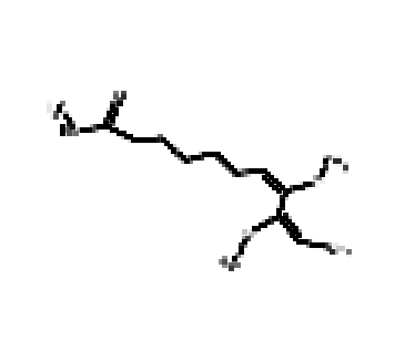 C/C=C(OC)\C(=C/CCCCCC(=O)NC)OC